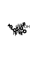 Cn1cnnc1-c1ccccc1-c1cc(NC2(CO)CCC2)nc(N2Cc3c(cc(CN4CCC5(CC5)C4)cc3C(F)(F)F)C2=O)c1